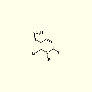 CC(C)(C)N1C(Br)=C(NC(=O)O)C=CC1Cl